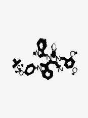 COc1ccc(Cn2c(C#N)c(-c3cn([C@@H]4C=C[C@H](O[Si](C)(C)C(C)(C)C)CC4)c4ccccc34)n(-c3cn(C)c4ccccc34)c2=O)c(OC)c1